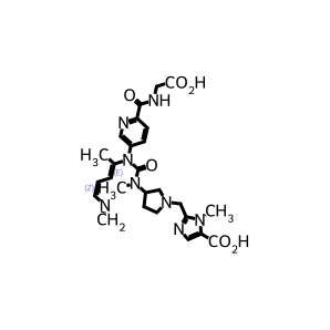 C=N/C=C\C=C(/C)N(C(=O)N(C)C1CCN(Cc2ncc(C(=O)O)n2C)C1)c1ccc(C(=O)NCC(=O)O)nc1